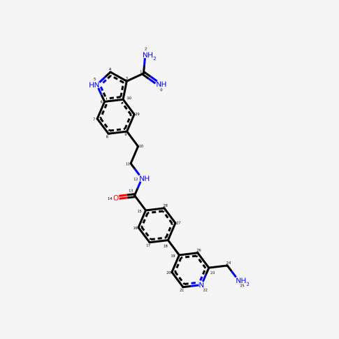 N=C(N)c1c[nH]c2ccc(CCNC(=O)c3ccc(-c4ccnc(CN)c4)cc3)cc12